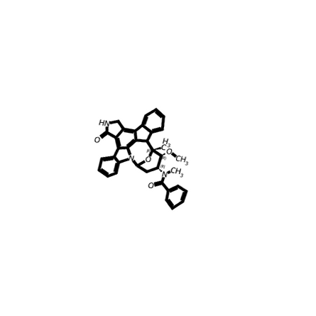 CO[C@@H]1[C@H](N(C)C(=O)c2ccccc2)CC2O[C@]1(C)C1c3ccccc3-c3c4c(c5c6ccccc6n2c5c31)C(=O)NC4